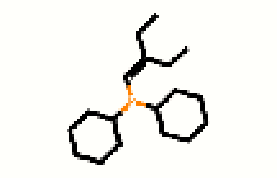 CCC(=CP(C1CCCCC1)C1CCCCC1)CC